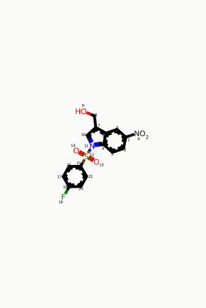 O=[N+]([O-])c1ccc2c(c1)c(CO)cn2S(=O)(=O)c1ccc(F)cc1